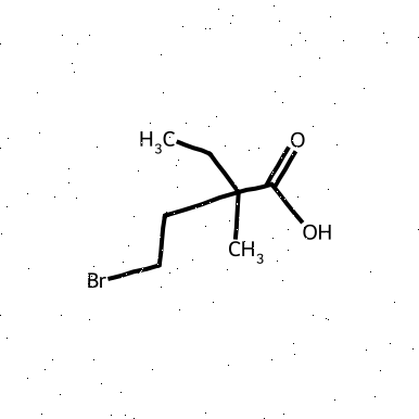 CCC(C)(CCBr)C(=O)O